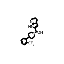 OC(c1cc2cccnc2[nH]1)N1CCC(c2ccccc2C(F)(F)F)CC1